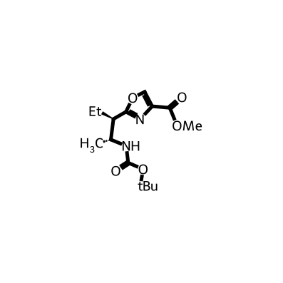 CC[C@@H](c1nc(C(=O)OC)co1)[C@@H](C)NC(=O)OC(C)(C)C